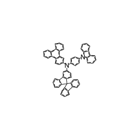 c1ccc2c(c1)-c1ccccc1C21c2ccccc2-c2cc(N(c3ccc(-n4c5ccccc5c5ccccc54)cc3)c3ccc4c5ccccc5c5ccccc5c4c3)ccc21